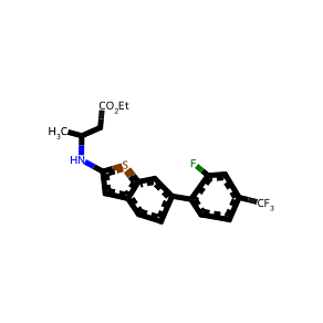 CCOC(=O)CC(C)Nc1cc2ccc(-c3ccc(C(F)(F)F)cc3F)cc2s1